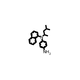 CC(C)CC(C)N(c1ccc(N)cc1)c1cccc2ccccc12